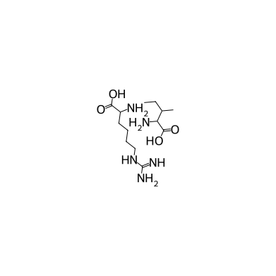 CCC(C)C(N)C(=O)O.N=C(N)NCCCCC(N)C(=O)O